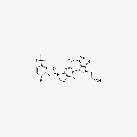 Nc1ncnc2c1c(-c1ccc3c(c1F)CCN3C(=O)Cc1cc(C(F)(F)F)ccc1F)cn2CCO